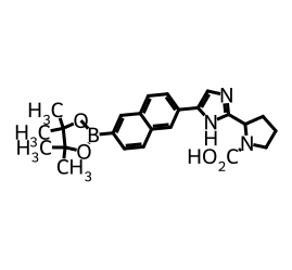 CC1(C)OB(c2ccc3cc(-c4cnc(C5CCCN5C(=O)O)[nH]4)ccc3c2)OC1(C)C